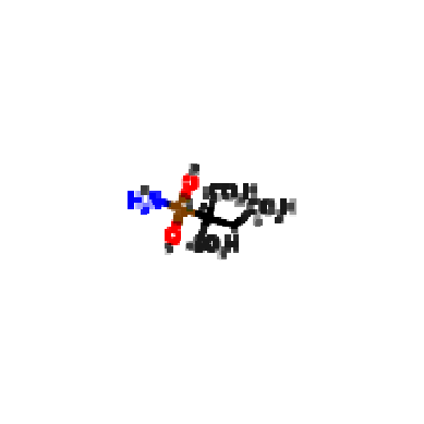 NS(=O)(=O)C(CC(=O)O)(C(=O)O)S(=O)(=O)O